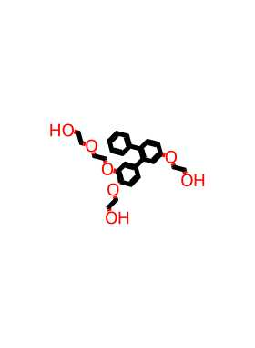 OCCOCCOc1cc(-c2cc(OCCO)ccc2-c2ccccc2)ccc1OCCO